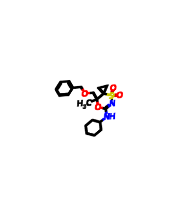 CC1(COCc2ccccc2)OC(NC2CCCCC2)=NS(=O)(=O)C12CC2